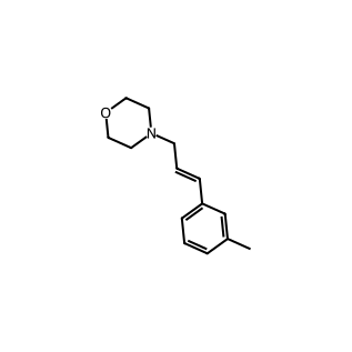 Cc1cccc(/C=C/CN2CCOCC2)c1